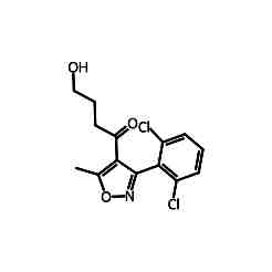 Cc1onc(-c2c(Cl)cccc2Cl)c1C(=O)CCCO